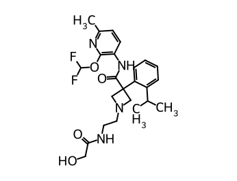 Cc1ccc(NC(=O)C2(c3ccccc3C(C)C)CN(CCNC(=O)CO)C2)c(OC(F)F)n1